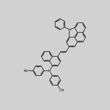 N#Cc1ccc(N(c2ccc(C#N)cc2)c2ccc(/C=C/c3cc4ccc5cccc6c5c4c(c3)n6-c3ccccc3)c3ccccc23)cc1